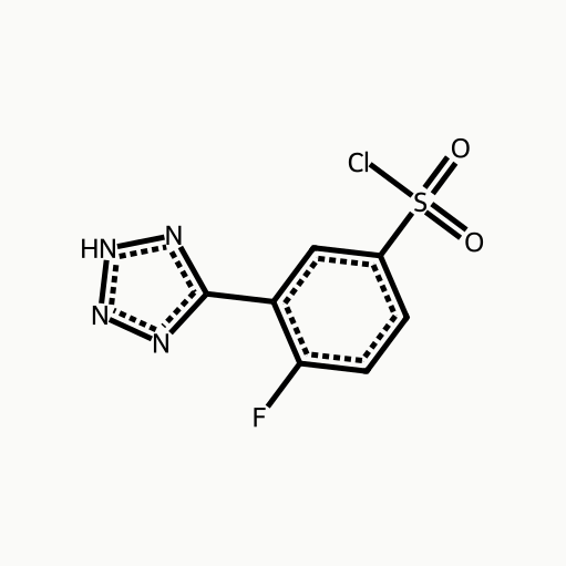 O=S(=O)(Cl)c1ccc(F)c(-c2nn[nH]n2)c1